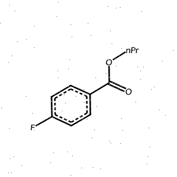 C[CH]COC(=O)c1ccc(F)cc1